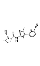 Cc1sc(NC(=O)[C@@H]2CC[C@H](C)N2C#N)nc1-c1cccc(C#N)n1